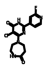 O=C1CCN(c2nc(-c3ccnc(F)c3)[nH]c(=O)c2Cl)CCN1